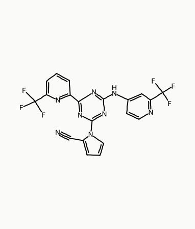 N#Cc1cccn1-c1nc(Nc2ccnc(C(F)(F)F)c2)nc(-c2cccc(C(F)(F)F)n2)n1